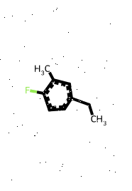 CCc1ccc(F)c(C)c1